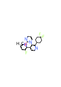 COC1N=CC=CN1c1c(-c2ncccc2F)ccnc1C1CCC(F)(F)CC1